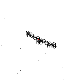 CC(C)(C)OC(=O)NCCOCCOCCOCCN(CCOCCOCCOCCN=[N+]=[N-])C(=O)C(F)(F)F